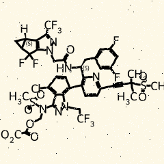 CC(C)(C#Cc1ccc(-c2ccc(Cl)c3c(N(COC(=O)C(=O)O)S(C)(=O)=O)nn(CC(F)(F)F)c23)c([C@H](Cc2cc(F)cc(F)c2)NC(=O)Cn2nc(C(F)(F)F)c3c2C(F)(F)C2C[C@H]32)n1)S(C)(=O)=O